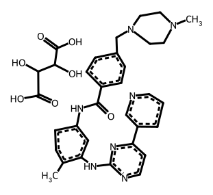 Cc1ccc(NC(=O)c2ccc(CN3CCN(C)CC3)cc2)cc1Nc1nccc(-c2cccnc2)n1.O=C(O)C(O)C(O)C(=O)O